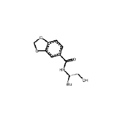 CC[C@H](C)[C@@H](CO)NC(=O)c1ccc2c(c1)OCO2